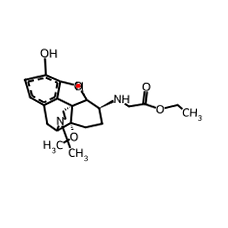 CCOC(=O)CN[C@H]1CC[C@@]2(OC)C3Cc4ccc(O)c5c4[C@@]2(CCN3C)[C@H]1O5